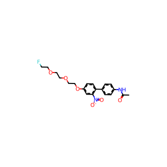 CC(=O)Nc1ccc(-c2ccc(OCCOCCOCCF)cc2[N+](=O)[O-])cc1